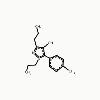 CCCc1nn(CCC)c(-c2ccc(C)cc2)c1O